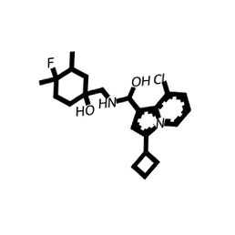 CC1CC(O)(CNC(O)c2cc(C3CCC3)n3cccc(Cl)c23)CCC1(C)F